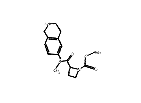 CCCCOC(=O)N1CCC1C(=O)N(C)c1ccc2c(c1)CCNC2